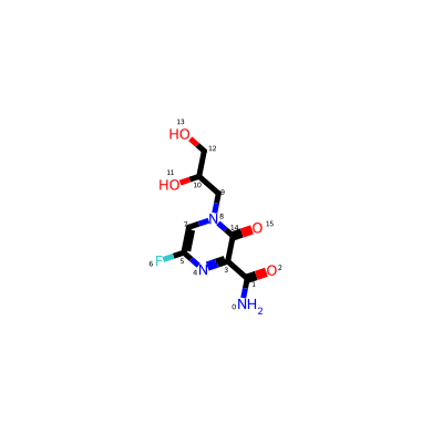 NC(=O)c1nc(F)cn(CC(O)CO)c1=O